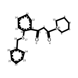 O=C(CC(=O)N1CCCCC1)c1ccccc1SCc1ccccc1